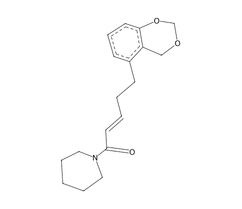 O=C(C=CCCc1cccc2c1COCO2)N1CCCCC1